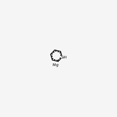 [Mg].c1cc[siH]cc1